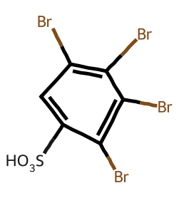 O=S(=O)(O)c1cc(Br)c(Br)c(Br)c1Br